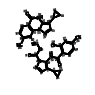 CC(C)(C)OC(=O)n1ncc(C2CC2)c1NC(=O)c1ccc(C#N)nc1Cl.N#Cc1ccc2c(=O)[nH]c3c(C4CC4)cnn3c2n1